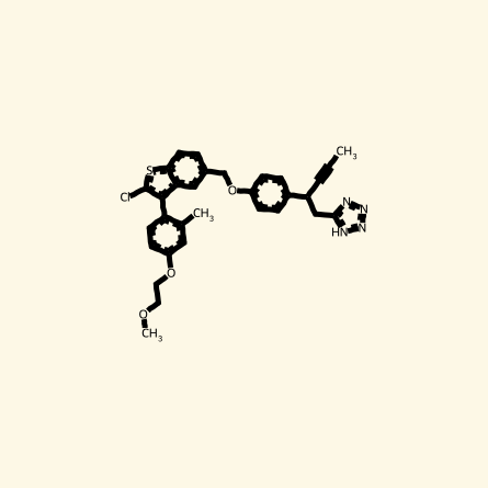 CC#CC(Cc1nnn[nH]1)c1ccc(OCc2ccc3sc(Cl)c(-c4ccc(OCCOC)cc4C)c3c2)cc1